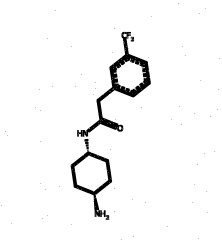 N[C@H]1CC[C@H](NC(=O)Cc2cccc(C(F)(F)F)c2)CC1